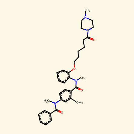 COc1cc(N(C)C(=O)c2ccccc2)ccc1C(=O)N(C)c1ccccc1OCCCCCC(=O)N1CCN(C)CC1